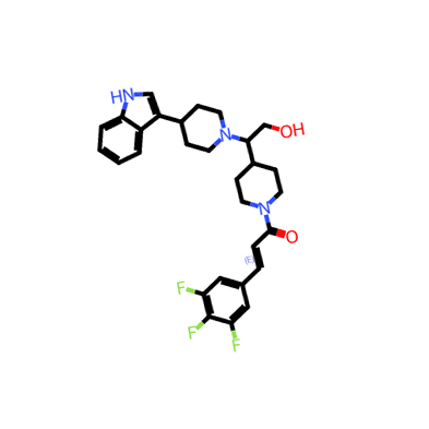 O=C(/C=C/c1cc(F)c(F)c(F)c1)N1CCC(C(CO)N2CCC(c3c[nH]c4ccccc34)CC2)CC1